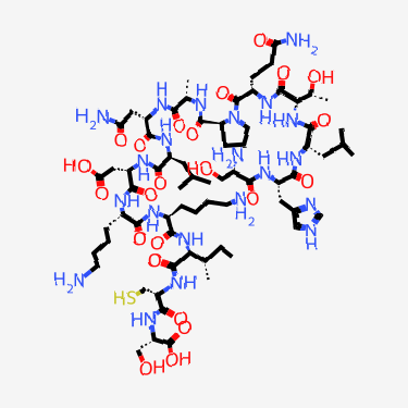 CC[C@H](C)[C@H](NC(=O)[C@H](CCCCN)NC(=O)[C@H](CCCCN)NC(=O)[C@H](CC(=O)O)NC(=O)[C@H](CC(C)C)NC(=O)[C@H](CC(N)=O)NC(=O)[C@H](C)NC(=O)[C@@H]1CCCN1C(=O)[C@H](CCC(N)=O)NC(=O)[C@@H](NC(=O)[C@H](CC(C)C)NC(=O)[C@H](Cc1c[nH]cn1)NC(=O)[C@@H](N)CO)[C@@H](C)O)C(=O)N[C@@H](CS)C(=O)N[C@@H](CO)C(=O)O